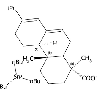 CC(C)C1=CC2=CCC3[C@](C)(C(=O)[O-])CCC[C@]3(C)[C@H]2CC1.CCC[CH2][Sn+]([CH2]CCC)[CH2]CCC